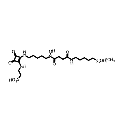 CN(O)CCCCCNC(=O)CCC(=O)N(O)CCCCCNc1c(NCCS(=O)(=O)O)c(=O)c1=O